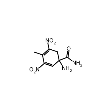 CC1=C([N+](=O)[O-])CC(N)(C(N)=O)C=C1[N+](=O)[O-]